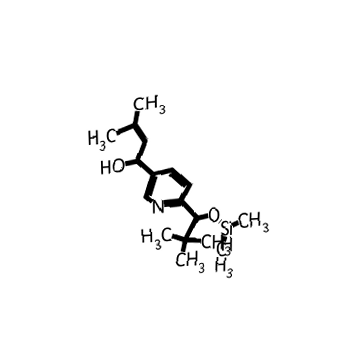 CC(C)CC(O)c1ccc(C(O[SiH](C)C)C(C)(C)C)nc1